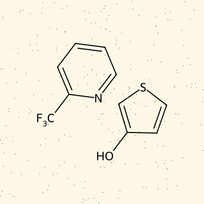 FC(F)(F)c1ccccn1.Oc1ccsc1